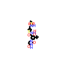 CCS(=O)(=O)NCc1csc(NC(=O)c2cc(N3CCC(=O)NC3=O)cc(C(C)(C)C)c2O)c1